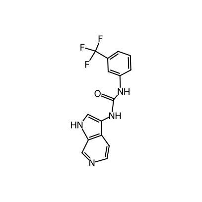 O=C(Nc1cccc(C(F)(F)F)c1)Nc1c[nH]c2cnccc12